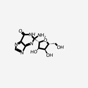 NC1([C@@H]2O[C@H](CO)[C@@H](O)[C@@H]2O)N=C2N=CN=C2C(=O)N1